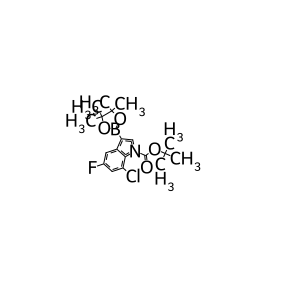 CC(C)(C)OC(=O)n1cc(B2OC(C)(C)C(C)(C)O2)c2cc(F)cc(Cl)c21